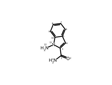 NC(=O)c1cc2ccccc2n1N